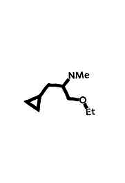 CCOCC(CC1CC1)NC